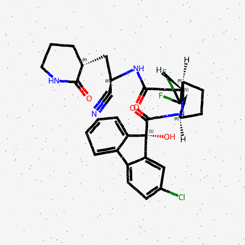 N#C[C@@H](C[C@H]1CCCNC1=O)NC(=O)[C@@H]1[C@H]2CC[C@H](CC2(F)F)N1C(=O)[C@]1(O)c2ccccc2-c2ccc(Cl)cc21